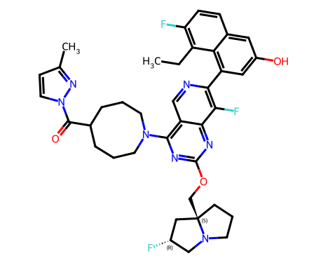 CCc1c(F)ccc2cc(O)cc(-c3ncc4c(N5CCCC(C(=O)n6ccc(C)n6)CCC5)nc(OC[C@@]56CCCN5C[C@H](F)C6)nc4c3F)c12